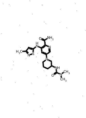 Cc1cc(Nc2cc(N3CCCC(NC(=O)N(C)C)C3)cnc2C(N)=O)sn1